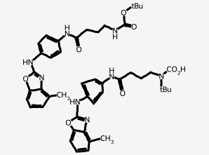 Cc1cccc2oc(Nc3ccc(NC(=O)CCCN(C(=O)O)C(C)(C)C)cc3)nc12.Cc1cccc2oc(Nc3ccc(NC(=O)CCCNC(=O)OC(C)(C)C)cc3)nc12